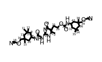 Cc1[nH]c(NC(=O)NC2CC(C)(C)CC(C)(COC#N)C2)nc(=O)c1CCOC(=O)NC1CC(C)(C)CC(C)(COC#N)C1